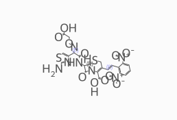 Nc1nc(/C(=N\OCC(=O)O)C(=O)NC2C(=O)N3C(C(=O)O)=C(/C=C/c4c([N+](=O)[O-])cccc4[N+](=O)[O-])CS[C@H]23)cs1